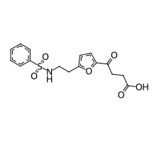 O=C(O)CCC(=O)c1ccc(CCNS(=O)(=O)c2ccccc2)o1